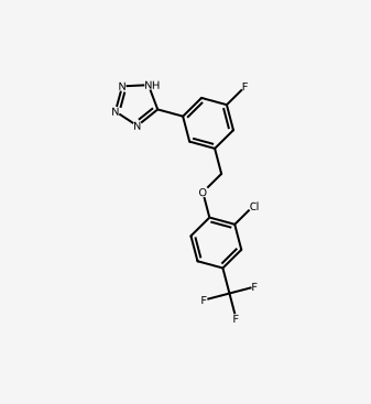 Fc1cc(COc2ccc(C(F)(F)F)cc2Cl)cc(-c2nnn[nH]2)c1